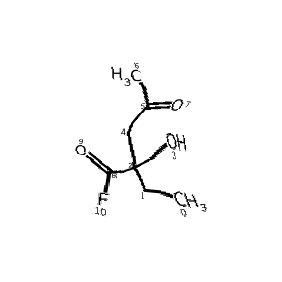 CCC(O)(CC(C)=O)C(=O)F